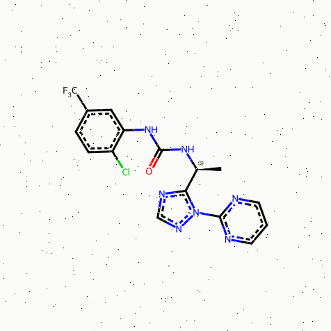 C[C@H](NC(=O)Nc1cc(C(F)(F)F)ccc1Cl)c1ncnn1-c1ncccn1